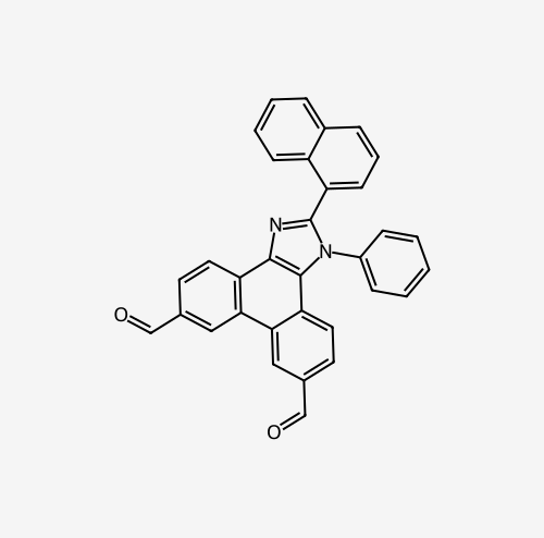 O=Cc1ccc2c(c1)c1cc(C=O)ccc1c1c2nc(-c2cccc3ccccc23)n1-c1ccccc1